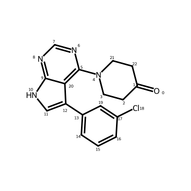 O=C1CCN(c2ncnc3[nH]cc(-c4cccc(Cl)c4)c23)CC1